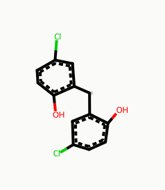 Oc1ccc(Cl)cc1[C]c1cc(Cl)ccc1O